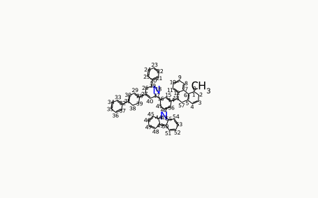 CC1CC=CC2=C1c1ccccc1C(C1=CC(C3=NC(c4ccccc4)CC(C4=CC=C(c5ccccc5)CC4)=C3)CC(N3C4C=CC=CC4C4C=CC=CC43)=C1)C2